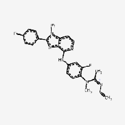 C=C/N=C(/C)N(C)c1ccc(Nc2nccc3c2nc(-c2ccc(F)cc2)n3C(C)C)cc1F